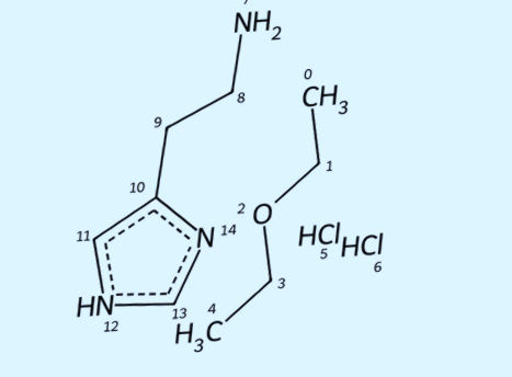 CCOCC.Cl.Cl.NCCc1c[nH]cn1